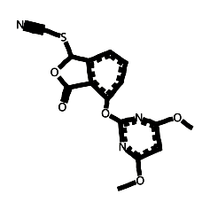 COc1cc(OC)nc(Oc2cccc3c2C(=O)OC3SC#N)n1